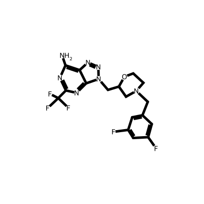 Nc1nc(C(F)(F)F)nc2c1nnn2CC1CN(Cc2cc(F)cc(F)c2)CCO1